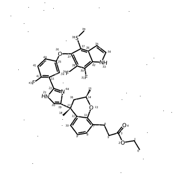 CCOC(=O)CCc1cccc2c1O[C@H](C)C[C@@]2(C)c1c[nH]c(-c2cc(Oc3c(F)c(F)c4[nH]ccc4c3SC)ccc2F)n1